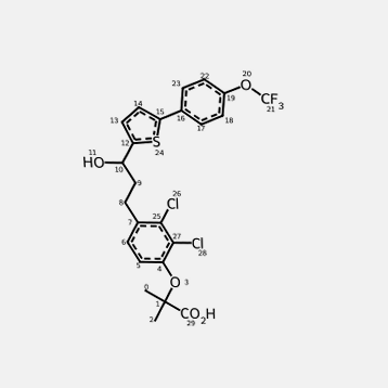 CC(C)(Oc1ccc(CCC(O)c2ccc(-c3ccc(OC(F)(F)F)cc3)s2)c(Cl)c1Cl)C(=O)O